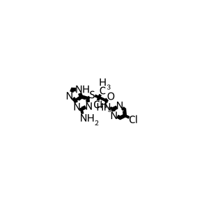 CC(C)(Sc1nc(N)nc2nc[nH]c12)C(=O)Nc1ncc(Cl)cn1